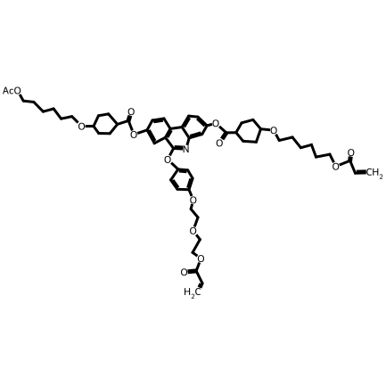 C=CC(=O)OCCCCCCOC1CCC(C(=O)Oc2ccc3c(c2)nc(Oc2ccc(OCCOCCOC(=O)C=C)cc2)c2cc(OC(=O)C4CCC(OCCCCCCOC(C)=O)CC4)ccc23)CC1